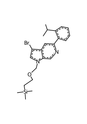 CC(C)c1ccccc1-c1cc2c(Br)cn(COCC[Si](C)(C)C)c2cn1